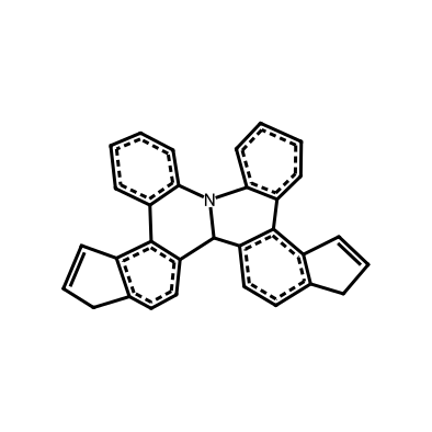 C1=Cc2c(ccc3c2-c2ccccc2N2c4ccccc4-c4c(ccc5c4C=CC5)C32)C1